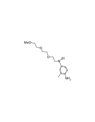 CCN(CCOCCOCCOC)c1ccc(N)c(C)c1